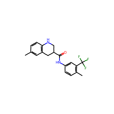 Cc1ccc2c(c1)CC(C(=O)Nc1ccc(C)c(C(F)(F)F)c1)CN2